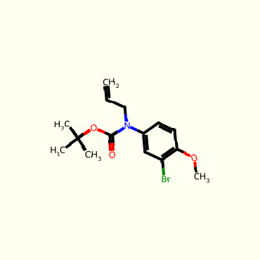 C=CCN(C(=O)OC(C)(C)C)c1ccc(OC)c(Br)c1